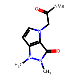 CNC(=O)Cn1ccc2c1c(=O)n(C)n2C